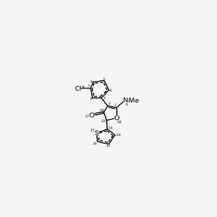 CNC1=C(c2cccc(Cl)c2)C(=O)C(c2cccs2)O1